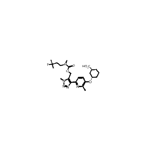 Cc1nc(-c2nnn(C)c2COC(=O)N(C)CCC(C)(C)F)ccc1O[C@H]1CCC[C@H](C(=O)O)C1